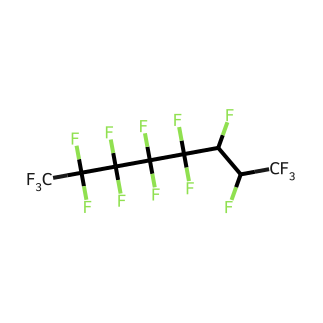 FC(C(F)C(F)(F)C(F)(F)C(F)(F)C(F)(F)C(F)(F)F)C(F)(F)F